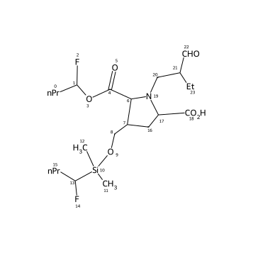 CCCC(F)OC(=O)C1C(CO[Si](C)(C)C(F)CCC)CC(C(=O)O)N1CC(C=O)CC